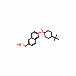 CC(C)(C)C1CCC(Oc2ccc3cc(CO)ccc3c2)CC1